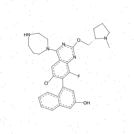 CN1CCC[C@H]1COc1nc(N2CCCNCC2)c2cc(Cl)c(-c3cc(O)cc4ccccc34)c(F)c2n1